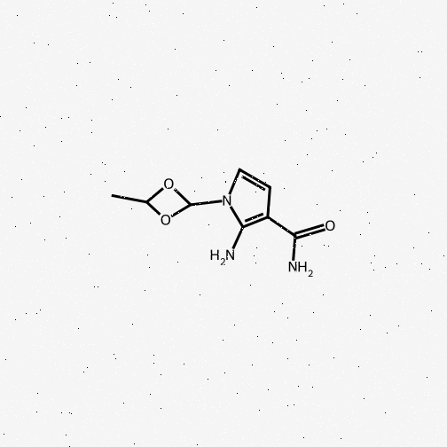 CC1OC(n2ccc(C(N)=O)c2N)O1